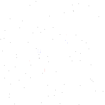 CCn1c(=O)c(O)cc2cc([N+](=O)[O-])ccc21